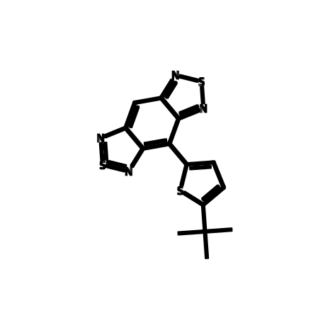 CC(C)(C)c1ccc(-c2c3c(cc4nsnc24)N=S=N3)s1